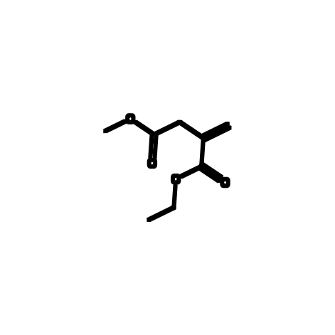 C=C(CC(=O)OC)C(=O)OCC